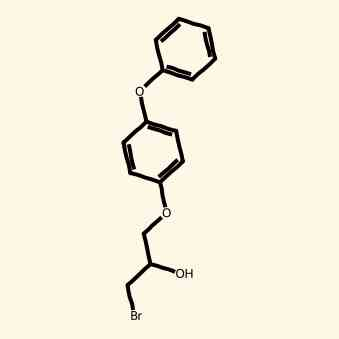 OC(CBr)COc1ccc(Oc2ccccc2)cc1